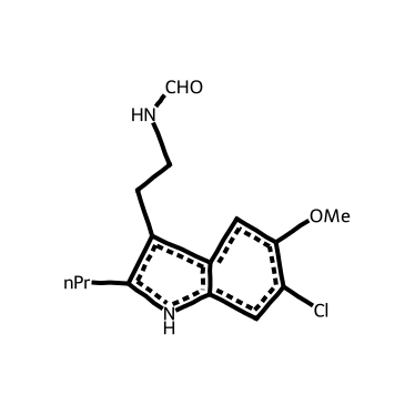 CCCc1[nH]c2cc(Cl)c(OC)cc2c1CCNC=O